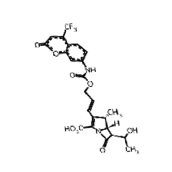 CC(O)[C@H]1C(=O)N2C(C(=O)O)=C(/C=C/COC(=O)Nc3ccc4c(C(F)(F)F)cc(=O)oc4c3)[C@H](C)[C@H]12